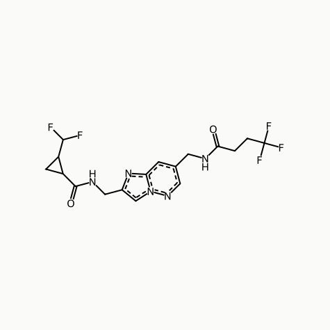 O=C(CCC(F)(F)F)NCc1cnn2cc(CNC(=O)C3CC3C(F)F)nc2c1